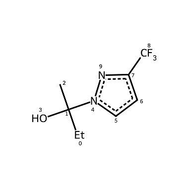 CCC(C)(O)n1ccc(C(F)(F)F)n1